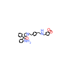 NC(=O)C(c1ccccc1)(c1ccccc1)[C@@H]1CCN(CCc2ccc(CCNCc3ccc4c(c3)OCO4)cc2)C1